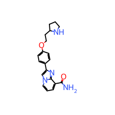 NC(=O)c1cccn2cc(-c3ccc(OCCC4CCCN4)cc3)nc12